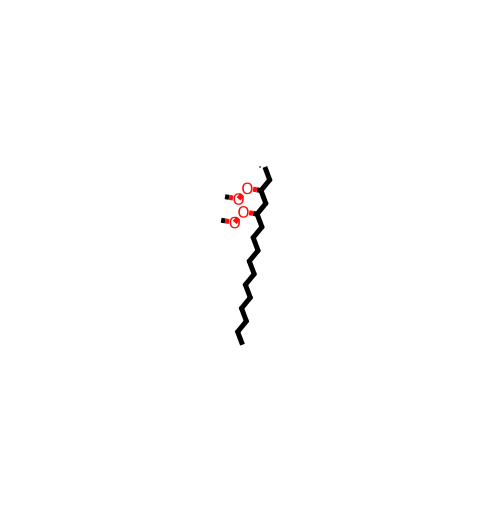 [CH2]CC(CC(CCCCCCCCCCC)OOC)OOC